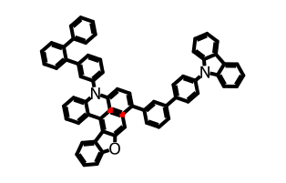 c1ccc(-c2ccccc2-c2cccc(N(c3ccc(-c4cccc(-c5ccc(-n6c7ccccc7c7ccccc76)cc5)c4)cc3)c3ccccc3-c3cccc4oc5ccccc5c34)c2)cc1